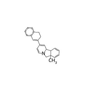 CC12C=CC=CC1C1C=C(C3=Cc4ccccc4CC3)C=CN1C2